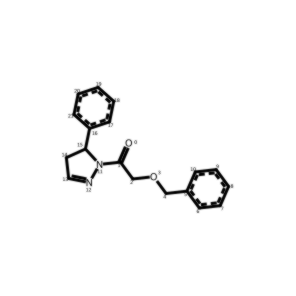 O=C(COCc1ccccc1)N1N=CCC1c1ccccc1